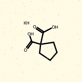 O=C(O)C1(C(=O)O)CCCC1.[KH]